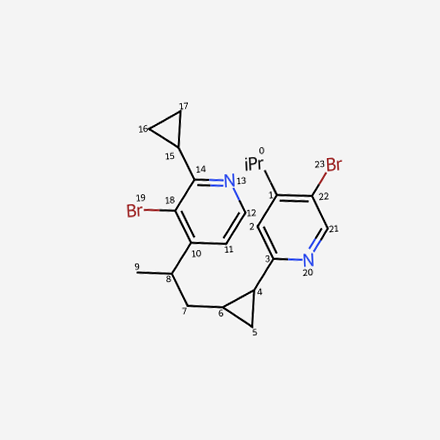 CC(C)c1cc(C2CC2CC(C)c2ccnc(C3CC3)c2Br)ncc1Br